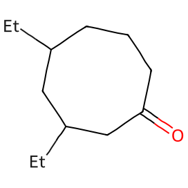 CCC1CCCC(=O)CC(CC)C1